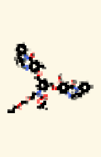 CCCOCCOCCN(C(=O)OC(C)(C)C)c1cc(COc2cc3c(cc2C)C(=O)N2c4ccccc4C[C@H]2C=N3)cc(COc2cc3c(cc2OC)C(=O)N2c4ccccc4C[C@H]2C=N3)c1